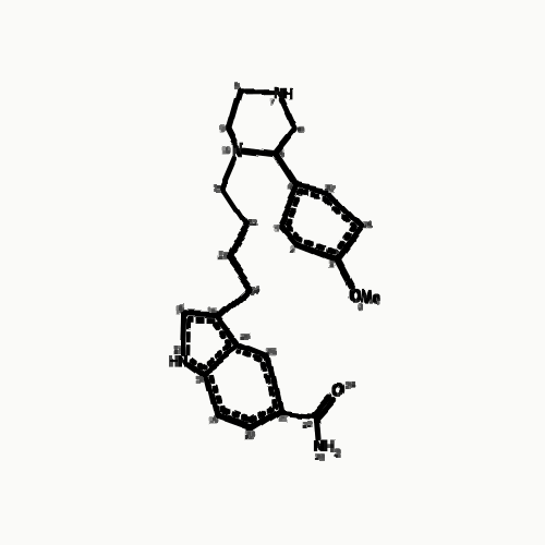 COc1ccc(C2CNCCN2CCCCc2c[nH]c3ccc(C(N)=O)cc23)cc1